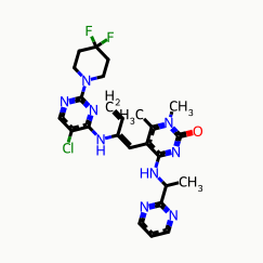 C=C/C(=C\c1c(NC(C)c2ncccn2)nc(=O)n(C)c1C)Nc1nc(N2CCC(F)(F)CC2)ncc1Cl